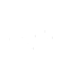 C/C=C(\C=C(\C)CCC(CC)CCl)C(C)C